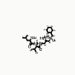 CC(C)CC(N)C(=O)N[C@H](C(=O)NC[C@@H](O)CP(=O)(O)CC1CCCCC1)C(C)C